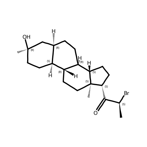 C[C@H](Br)C(=O)[C@H]1CC[C@H]2[C@@H]3CC[C@@H]4C[C@](C)(O)CC[C@@H]4[C@H]3CC[C@]12C